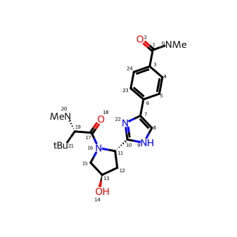 CNC(=O)c1ccc(-c2c[nH]c([C@@H]3C[C@@H](O)CN3C(=O)[C@@H](NC)C(C)(C)C)n2)cc1